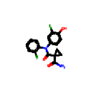 NC(=O)C1(C(=O)N(c2ccc(O)c(F)c2)c2ccccc2F)CC1